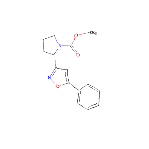 CC(C)(C)OC(=O)N1CCC[C@H]1c1cc(-c2ccccc2)on1